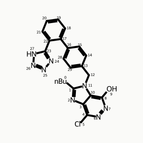 CCCCc1nc2c(Cl)nnc(O)c2n1Cc1ccc(-c2ccccc2-c2nnn[nH]2)cc1